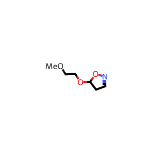 COCCOC1CC=NO1